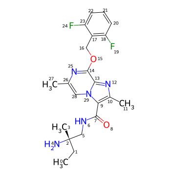 CC[C@](C)(N)CNC(=O)c1c(C)nc2c(OCc3c(F)cccc3F)nc(C)cn12